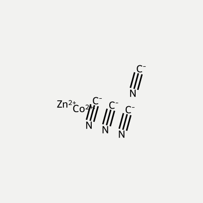 [C-]#N.[C-]#N.[C-]#N.[C-]#N.[Co+2].[Zn+2]